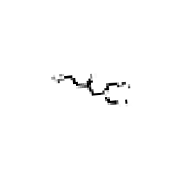 CCCC(=O)C[S+](CC)CC